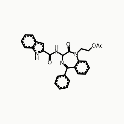 CC(=O)OCCN1C(=O)C(NC(=O)c2cc3ccccc3[nH]2)N=C(c2ccccc2)c2ccccc21